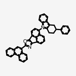 c1ccc(C2CCc3c(c4ccccc4n3-c3ccc4c5c(cccc35)-c3nc(-c5cc6ccccc6c6ccccc56)oc3-4)C2)cc1